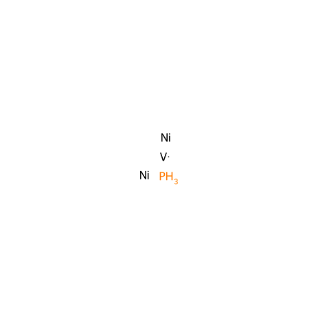 P.[Ni].[Ni].[V]